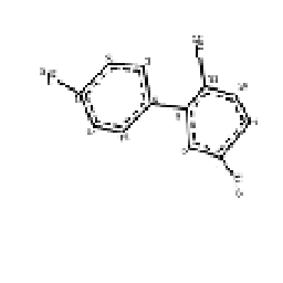 Fc1ccc(-c2cc(F)ccc2F)cc1